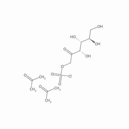 CC(C)=O.CC(C)=O.O=C(COS(=O)(=O)Cl)[C@@H](O)[C@H](O)[C@H](O)CO